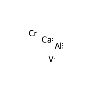 [Al].[Ca].[Cr].[V]